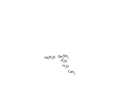 Cl.O.O.O.O.O.[CaH2]